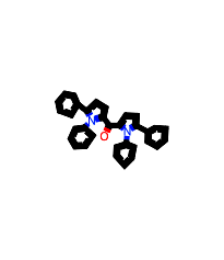 O=C(c1ccc(-c2ccccc2)n1-c1ccccc1)c1ccc(-c2ccccc2)n1-c1ccccc1